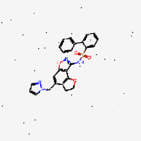 O=S(=O)(Nc1noc2cc(Cn3cccn3)c3c(c12)OCC3)c1ccccc1-c1ccccc1